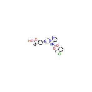 CC(OC(=O)Nc1cccnc1N1CCN(c2ccc(C3(C(=O)O)CC3)cc2)CC1)c1ccccc1Cl